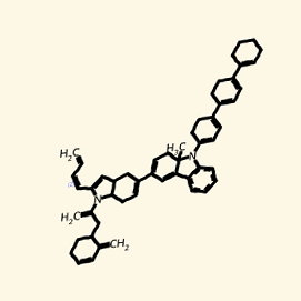 C=C/C=C\C1=CC2CC(C3=CCC4(C)C(=C3)c3ccccc3N4C3=CC=C(C4=CC=C(C5=CCCCC5)CC4)CC3)=CCC2N1C(=C)CC1CCC=CC1=C